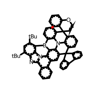 CC(C)(C)c1cc(C(C)(C)C)c2nc3c4ccccc4c4cc5c6c7c4n3c2c1B7c1cccc2c1N6c1c(cccc1C51c3ccccc3-c3ccccc31)C21c2ccccc2Oc2ccccc21